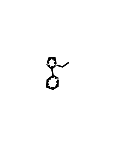 CCn1ccnc1-c1ccccn1